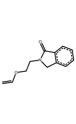 C=COCCN1Cc2ccccc2C1=O